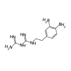 Bc1ccc(CCNC(=N)NC(=N)N)cc1B